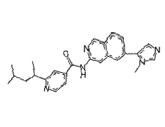 CC(C)CC(C)c1cc(C(=O)Nc2cc3cc(-c4cncn4C)ccc3cn2)ccn1